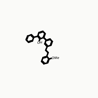 COc1ccccc1CCc1cccc(-c2cccc(-c3ccccc3)c2O)c1